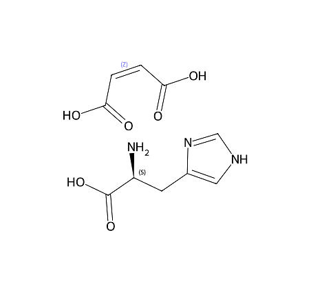 N[C@@H](Cc1c[nH]cn1)C(=O)O.O=C(O)/C=C\C(=O)O